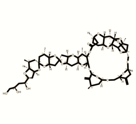 C=C1C[C@@H]2CC[C@@]34C[C@]5(C)O[C@H]6[C@@H](O3)[C@H]3O[C@H](CC[C@@H]3O[C@H]6C5O4)CC(=O)O[C@@H]3[C@@H](C)[C@@H]4O[C@@H]5C[C@@]6(C[C@@H]7O[C@]8(C[C@H](C)[C@@H]9O[C@H]([C@@H](O)C[C@@H](O)CO)C[C@@H]9O8)C[C@H](C)[C@@H]7O6)O[C@@H]5C[C@@H]4O[C@H]3C[C@H]3O[C@@H](CC[C@@H]1O2)C[C@@H](C)C3=C